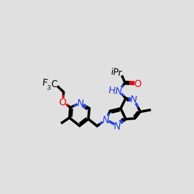 Cc1cc2nn(Cc3cnc(OCC(F)(F)F)c(C)c3)cc2c(NC(=O)C(C)C)n1